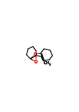 C=CC12CCCCC1(OC1=CCCCC1)O2